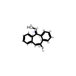 O/N=c1\c2ccccc2cc(F)c2ccccc12